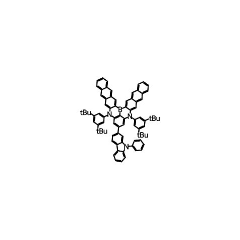 CC(C)(C)c1cc(N2c3cc4cc5ccccc5cc4cc3B3c4cc5cc6ccccc6cc5cc4N(c4cc(C(C)(C)C)cc(C(C)(C)C)c4)c4cc(-c5ccc6c7ccccc7n(-c7ccccc7)c6c5)cc2c43)cc(C(C)(C)C)c1